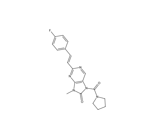 Cn1c(=O)n(C(=O)N2CCCC2)c2cnc(C=Cc3ccc(F)cc3)nc21